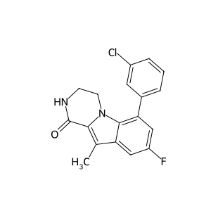 Cc1c2n(c3c(-c4cccc(Cl)c4)cc(F)cc13)CCNC2=O